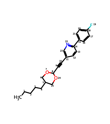 CCCCCC1COC(C#Cc2ccc(-c3ccc(F)cc3)nc2)OC1